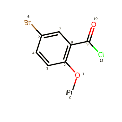 CC(C)Oc1ccc(Br)cc1C(=O)Cl